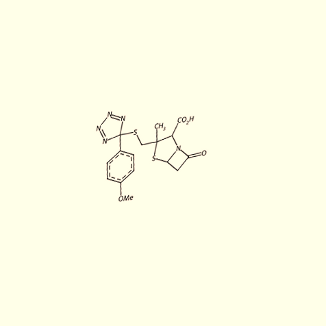 COc1ccc(C2(SCC3(C)SC4CC(=O)N4C3C(=O)O)N=NN=N2)cc1